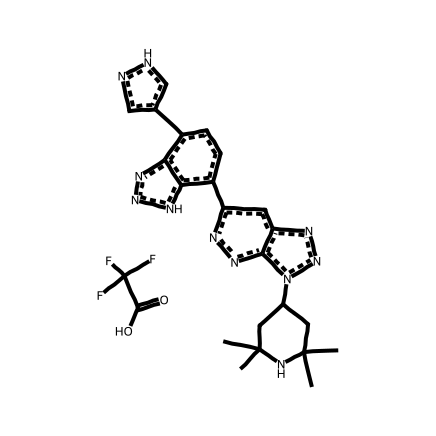 CC1(C)CC(n2nnc3cc(-c4ccc(-c5cn[nH]c5)c5nn[nH]c45)nnc32)CC(C)(C)N1.O=C(O)C(F)(F)F